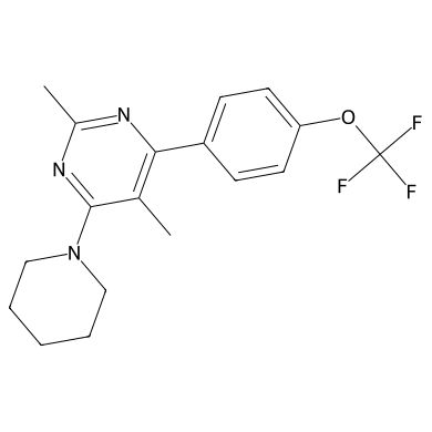 Cc1nc(-c2ccc(OC(F)(F)F)cc2)c(C)c(N2CCCCC2)n1